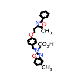 Cc1ccc2oc(N(CC(=O)O)Cc3ccc(OCCc4nc(-c5ccccc5)oc4C)cc3)nc2c1